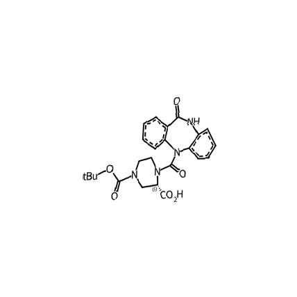 CC(C)(C)OC(=O)N1CCN(C(=O)N2c3ccccc3NC(=O)c3ccccc32)[C@H](C(=O)O)C1